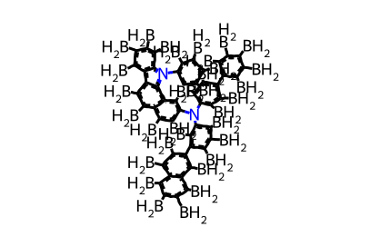 Bc1cc(-n2c3c(B)c(B)c(B)c(B)c3c3c(B)c(B)c4c(B)c(B)c(N(c5c(B)c(B)c(-c6c(B)c(B)c(B)c(B)c6B)c(B)c5B)c5c(B)c(B)c(B)c(-c6c(B)c(B)c7c(B)c(B)c(B)c(B)c7c6B)c5B)c(B)c4c32)c(B)c(B)c1B